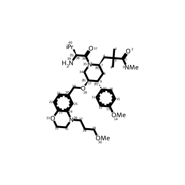 CNC(=O)C(C)(C)C[C@H]1C[C@H](c2ccc(OC)cc2)[C@@H](OCc2ccc3c(c2)N(CCCOC)CCO3)CN1C(=O)[C@@H](N)C(C)C